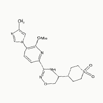 COc1nc(C2=NOCC(C3CCS(=O)(=O)CC3)N2)ccc1-n1cnc(C)c1